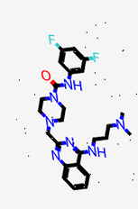 CN(C)CCCNc1nc(CN2CCN(C(=O)Nc3cc(F)cc(F)c3)CC2)nc2ccccc12